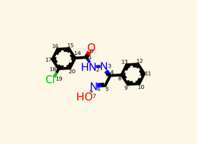 O=C(N/N=C(\C=N\O)c1ccccc1)c1cccc(Cl)c1